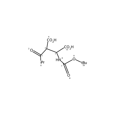 CC(C)C(=O)C(C(=O)O)C(NC(=O)OC(C)(C)C)C(=O)O